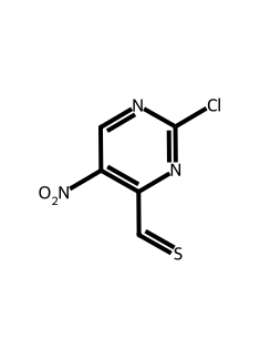 O=[N+]([O-])c1cnc(Cl)nc1C=S